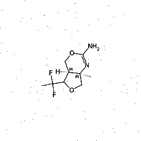 CC(F)(F)C1OC[C@]2(C)N=C(N)OC[C@H]12